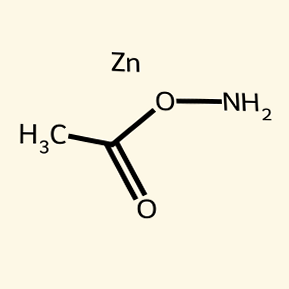 CC(=O)ON.[Zn]